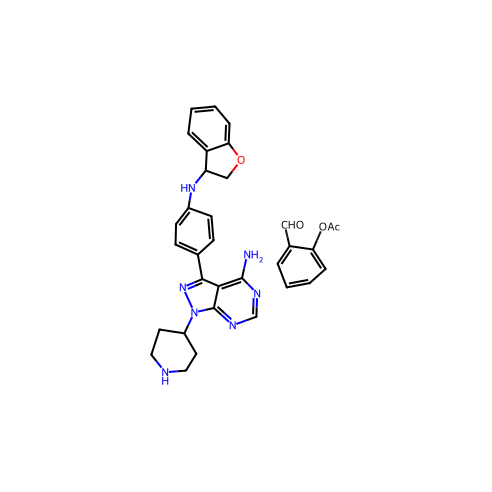 CC(=O)Oc1ccccc1C=O.Nc1ncnc2c1c(-c1ccc(NC3COc4ccccc43)cc1)nn2C1CCNCC1